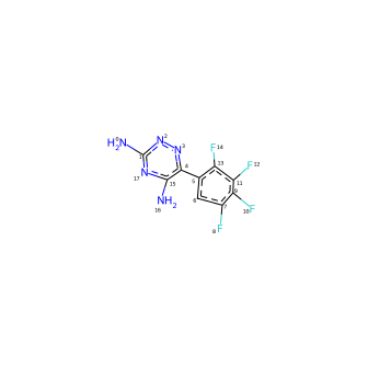 Nc1nnc(-c2cc(F)c(F)c(F)c2F)c(N)n1